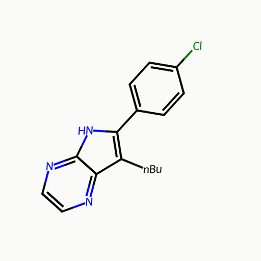 CCCCc1c(-c2ccc(Cl)cc2)[nH]c2nccnc12